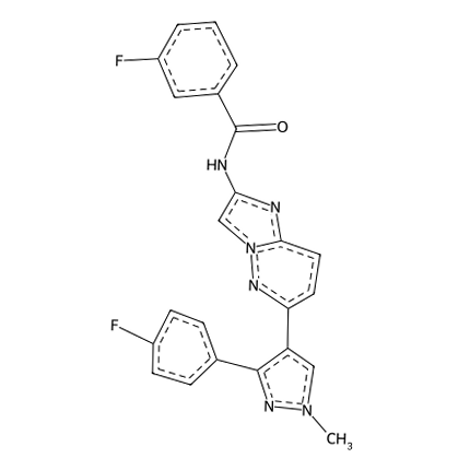 Cn1cc(-c2ccc3nc(NC(=O)c4cccc(F)c4)cn3n2)c(-c2ccc(F)cc2)n1